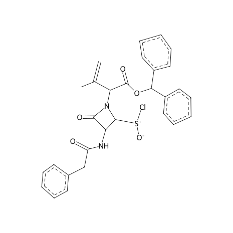 C=C(C)C(C(=O)OC(c1ccccc1)c1ccccc1)N1C(=O)C(NC(=O)Cc2ccccc2)C1[S+]([O-])Cl